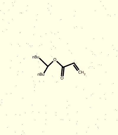 C=CC(=O)OC(CCCC)CCCC